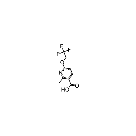 Cc1nc(OCC(F)(F)F)ccc1C(=O)O